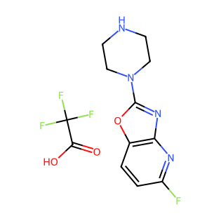 Fc1ccc2oc(N3CCNCC3)nc2n1.O=C(O)C(F)(F)F